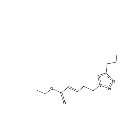 CCCc1cn(CC/C=C/C(=O)OCC)nn1